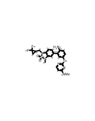 CNc1ccnc(Oc2ccc(N)c(-c3ccc4c(c3)N(C)S(=O)(=O)N4CC3CC3(F)F)c2)n1